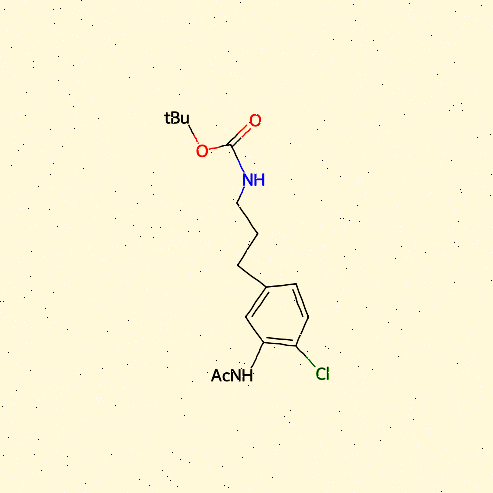 CC(=O)Nc1cc(CCCNC(=O)OC(C)(C)C)ccc1Cl